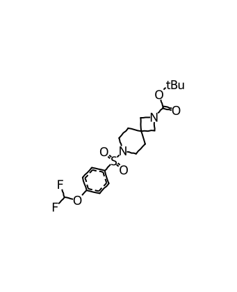 CC(C)(C)OC(=O)N1CC2(CCN(S(=O)(=O)c3ccc(OC(F)F)cc3)CC2)C1